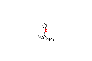 COC[C@@H](COc1ccc(C)cc1)OC(C)=O